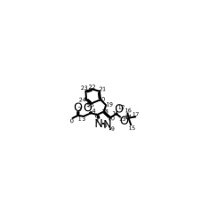 CC(=O)CC(=O)c1nn(C)c(C(=O)OC(C)(C)C)c1Cc1ccccc1